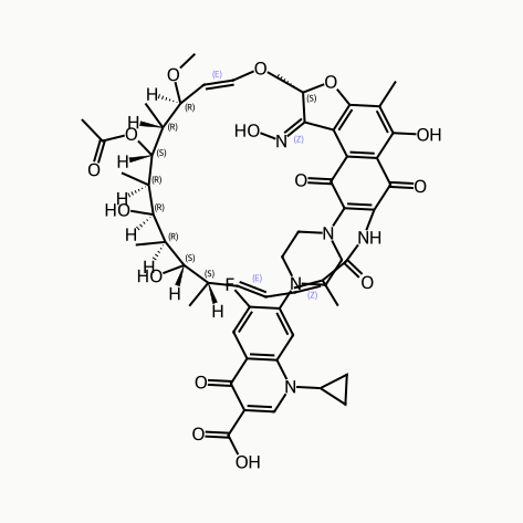 CO[C@H]1/C=C/O[C@@]2(C)Oc3c(C)c(O)c4c(c3/C2=N/O)C(=O)C(N2CCN(c3cc5c(cc3F)c(=O)c(C(=O)O)cn5C3CC3)CC2)=C(NC(=O)/C(C)=C\C=C\[C@H](C)[C@H](O)[C@@H](C)[C@@H](O)[C@@H](C)[C@H](OC(C)=O)[C@@H]1C)C4=O